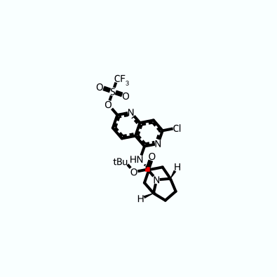 CC(C)(C)OC(=O)N1[C@@H]2CC[C@H]1C[C@@H](Nc1nc(Cl)cc3nc(OS(=O)(=O)C(F)(F)F)ccc13)C2